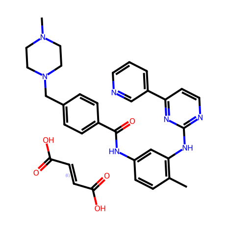 Cc1ccc(NC(=O)c2ccc(CN3CCN(C)CC3)cc2)cc1Nc1nccc(-c2cccnc2)n1.O=C(O)/C=C/C(=O)O